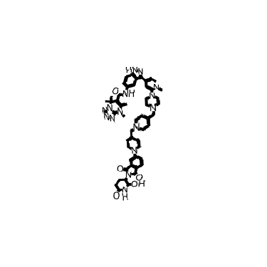 C=N/C(=C\C(=C/C)c1n[nH]c2ccc(NC(=O)C3=C(C)N(C)c4nnnn4C3(C)C)cc12)N1CCN(CC2CCN(CC3CCN(c4ccc5c(c4)C(=O)N(C4CCC(=O)NC4O)C5=O)CC3)CC2)CC1